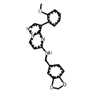 COc1ccccc1-c1cnn2ccc(NCc3ccc4c(c3)OCO4)nc12